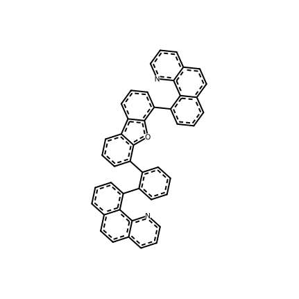 c1ccc(-c2cccc3ccc4cccnc4c23)c(-c2cccc3c2oc2c(-c4cccc5ccc6cccnc6c45)cccc23)c1